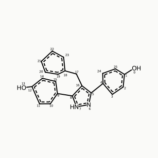 Oc1ccc(-c2n[nH]c(-c3ccc(O)cc3)c2Cc2ccccc2)cc1